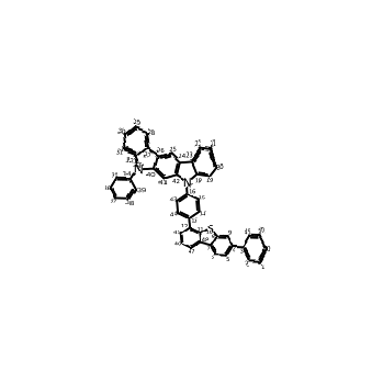 c1ccc(-c2ccc3c(c2)sc2c(-c4ccc(-n5c6ccccc6c6cc7c8ccccc8n(-c8ccccc8)c7cc65)cc4)cccc23)cc1